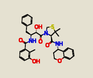 Cc1c(O)cccc1C(=O)N[C@@H](Cc1ccccc1)[C@H](O)C(=O)N1CSC(C)(C)[C@H]1C(=O)N[C@H]1CCOc2ccccc21